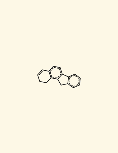 C1=Cc2ccc3c(c2CC1)Cc1ccccc1-3